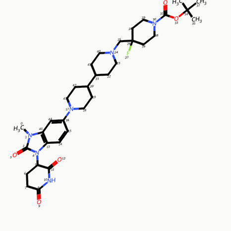 Cn1c(=O)n(C2CCC(=O)NC2=O)c2ccc(N3CCC(C4CCN(CC5(F)CCN(C(=O)OC(C)(C)C)CC5)CC4)CC3)cc21